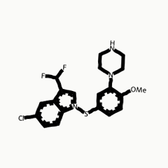 COc1ccc(Sn2cc(C(F)F)c3cc(Cl)ccc32)cc1N1CCNCC1